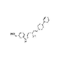 OCc1ccc2c(CC(S)CCN3CC=C(c4ccccc4)CC3)c[nH]c2c1